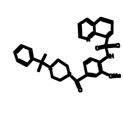 COc1cc(C(=O)N2CCN(C(C)(C)c3ccccc3)CC2)ccc1NS(=O)(=O)c1cccc2cccnc12